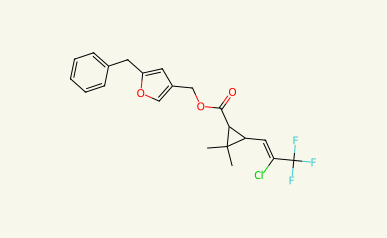 CC1(C)C(/C=C(\Cl)C(F)(F)F)C1C(=O)OCc1coc(Cc2ccccc2)c1